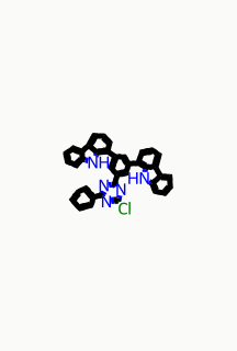 Clc1nc(-c2ccccc2)nc(-c2cc(-c3cccc4c3[nH]c3ccccc34)cc(-c3cccc4c3[nH]c3ccccc34)c2)n1